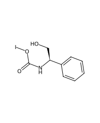 O=C(N[C@@H](CO)c1ccccc1)OI